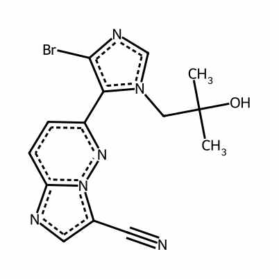 CC(C)(O)Cn1cnc(Br)c1-c1ccc2ncc(C#N)n2n1